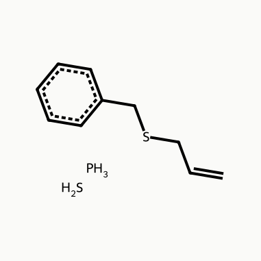 C=CCSCc1ccccc1.P.S